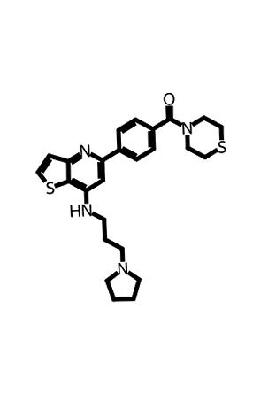 O=C(c1ccc(-c2cc(NCCCN3CCCC3)c3sccc3n2)cc1)N1CCSCC1